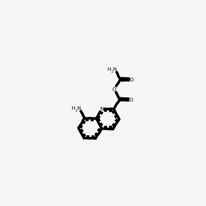 NC(=O)OC(=O)c1ccc2cccc(N)c2n1